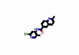 Cc1ccc2cc(C(=O)Nc3cc(Br)ncc3C)ccc2n1